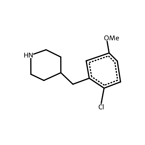 COc1ccc(Cl)c(CC2CCNCC2)c1